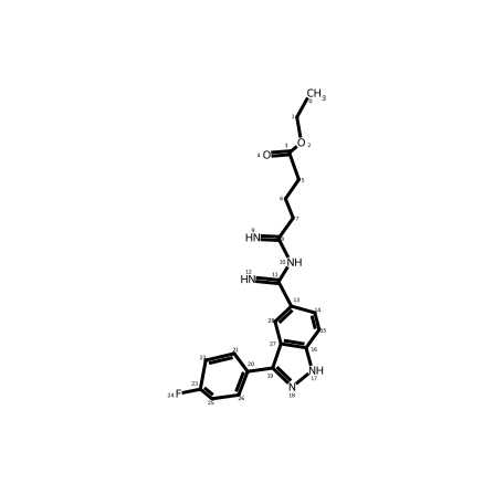 CCOC(=O)CCCC(=N)NC(=N)c1ccc2[nH]nc(-c3ccc(F)cc3)c2c1